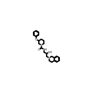 O=C(NCC(O)CN1CCc2ccccc2C1)N1CCCC(Oc2ccccc2)C1